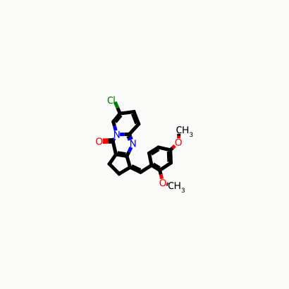 COc1ccc(/C=C2/CCc3c2nc2ccc(Cl)cn2c3=O)c(OC)c1